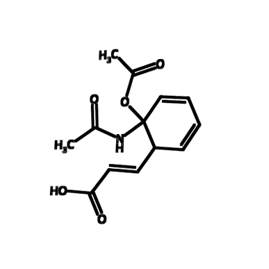 CC(=O)NC1(OC(C)=O)C=CC=CC1C=CC(=O)O